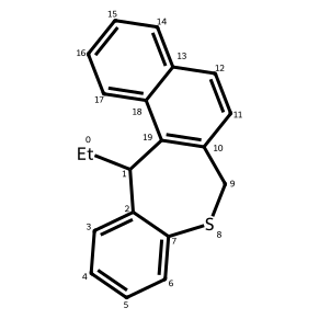 CCC1c2ccccc2SCc2ccc3ccccc3c21